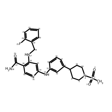 CS(=O)(=O)N1CCC(c2cccc(Nc3cc(NCc4ccccc4F)c(C(N)=O)cn3)c2)CC1